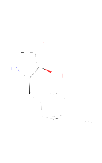 COc1ccc(C[C@H]2NC[C@H](O)[C@H]2O)cc1